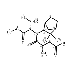 COC(=O)[C@H](CS)N(C(=O)[C@@H](N)CC(=O)O)C1C(C)(C)C2CC[C@@]1(C)C2